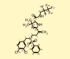 C=C(CCN(Cc1ccc(Cl)c(Cl)c1)S(=O)(=O)c1ccccc1)C1=NC(C)(C)[C@H](C(=O)NCC(F)(F)C(F)(F)F)N1